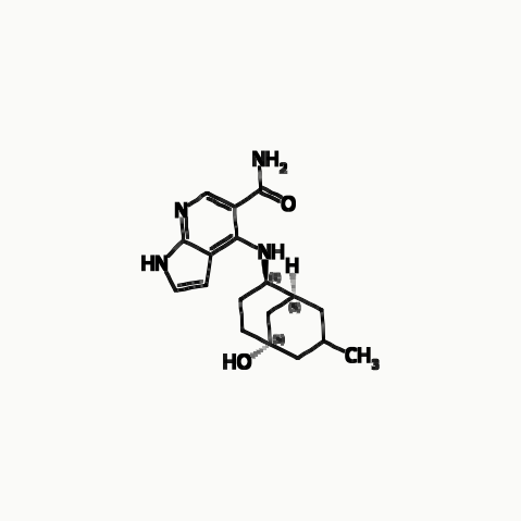 CC1C[C@H]2C[C@](O)(CC[C@H]2Nc2c(C(N)=O)cnc3[nH]ccc23)C1